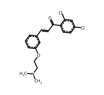 CN(C)CCOc1cccc(/C=C/C(=O)c2ccc(Cl)cc2Cl)c1